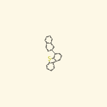 c1ccc2cc(-c3cccc4c3sc3ccccc34)ccc2c1